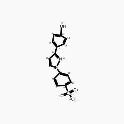 CS(=O)(=O)c1ccc(-n2ccc(-c3ccc(O)cc3)n2)cc1